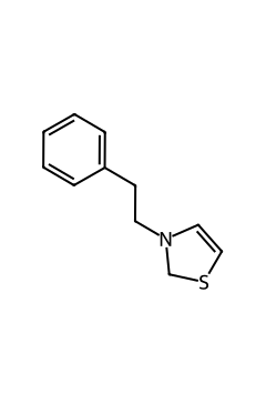 C1=CN(CCc2ccccc2)CS1